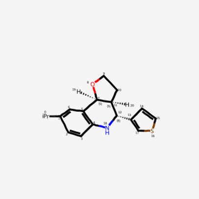 CC(C)c1ccc2c(c1)[C@H]1OCC[C@H]1[C@H](c1ccsc1)N2